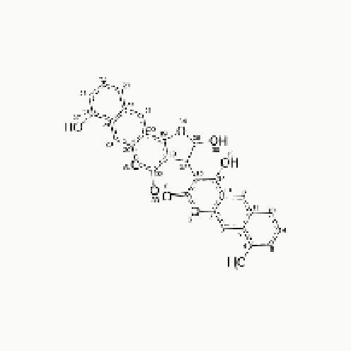 O=c1oc2cc3c(O)cccc3cc2c(O)c1C1c2c(c3cc4cccc(O)c4cc3oc2=O)OC1O